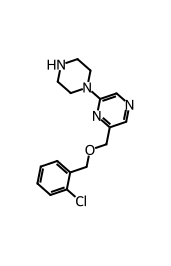 Clc1ccccc1COCc1cncc(N2CCNCC2)n1